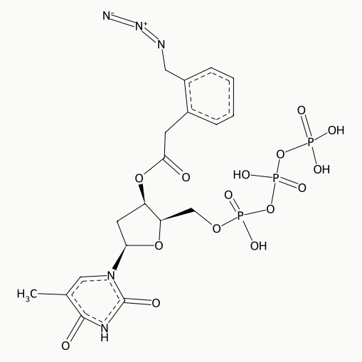 Cc1cn([C@H]2C[C@@H](OC(=O)Cc3ccccc3CN=[N+]=[N-])[C@@H](COP(=O)(O)OP(=O)(O)OP(=O)(O)O)O2)c(=O)[nH]c1=O